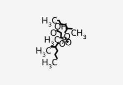 CCCCC(CC)COP(=O)(OCC(CC)CCCC)C(C)CC(=O)O